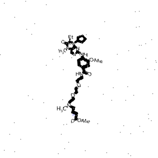 CC[C@@H]1C(=O)N(C)c2cnc(Nc3ccc(C(=O)NCCOCCOCCN(C)C/C=C/C(=O)OC)cc3OC)nc2N1C1CCCC1